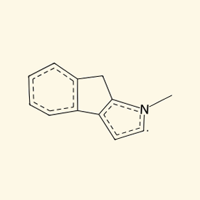 Cn1[c]cc2c1Cc1ccccc1-2